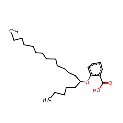 CCCCCCCCCCCCCC(CCCCC)Oc1ccccc1C(=O)O